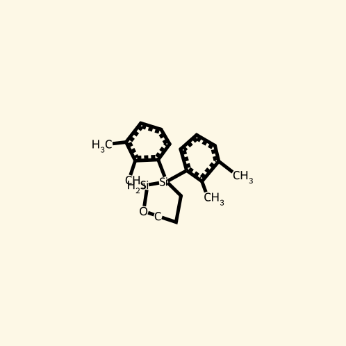 Cc1cccc([Si]2(c3cccc(C)c3C)CCCO[SiH2]2)c1C